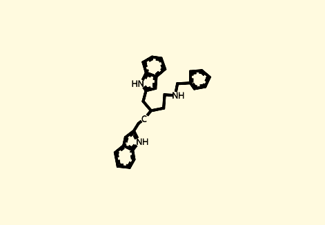 c1ccc(CNCCC(CCc2cc3ccccc3[nH]2)Cc2cc3ccccc3[nH]2)cc1